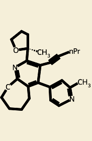 CCCC#Cc1c([C@]2(C)CCCO2)nc2c(c1-c1ccnc(C)c1)CCCCC2